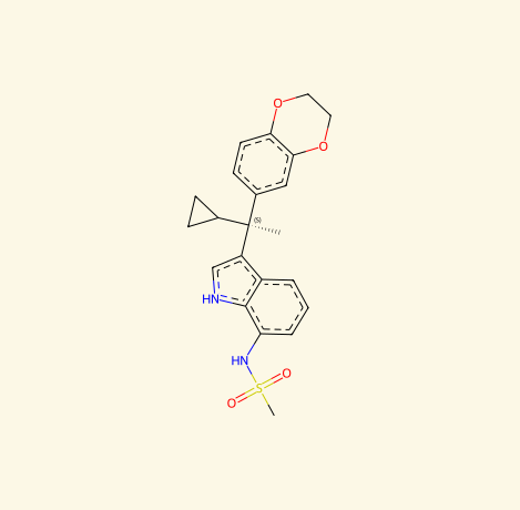 C[C@](c1ccc2c(c1)OCCO2)(c1c[nH]c2c(NS(C)(=O)=O)cccc12)C1CC1